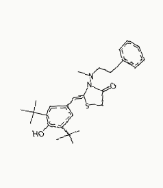 CN(CCc1ccccc1)N1C(=O)CSC1=Cc1cc(C(C)(C)C)c(O)c(C(C)(C)C)c1